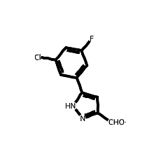 O=[C]c1cc(-c2cc(F)cc(Cl)c2)[nH]n1